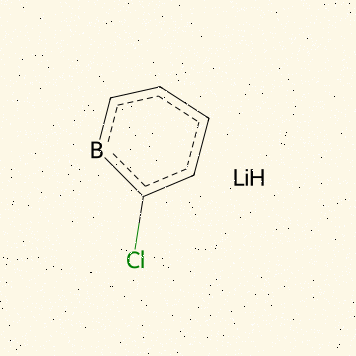 Clc1bcccc1.[LiH]